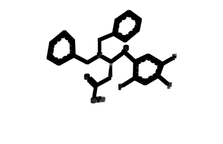 COC(=O)C[C@@H](C(=O)c1cc(F)c(F)cc1F)N(Cc1ccccc1)Cc1ccccc1